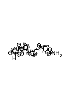 NC(=O)OC1CCN(C(=O)/C=C/[C@@H]2CN(Cc3cccc4c3C(=O)N(C3CCC(=O)NC3=O)C4=O)CCO2)CC1